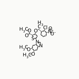 COC(=O)c1sc(-n2cnc3cc(OC)c(OC)cc32)cc1OC(C)c1cccc([N+](=O)[O-])c1Cl